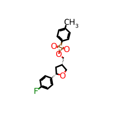 Cc1ccc(S(=O)(=O)OC[C@@H]2CO[C@H](c3ccc(F)cc3)C2)cc1